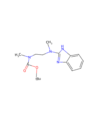 CN(CCN(C)c1nc2ccccc2[nH]1)C(=O)OC(C)(C)C